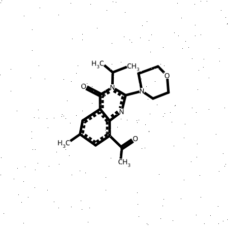 CC(=O)c1cc(C)cc2c(=O)n(C(C)C)c(N3CCOCC3)nc12